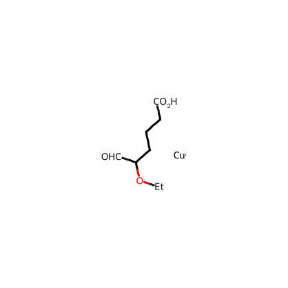 CCOC(C=O)CCCC(=O)O.[Cu]